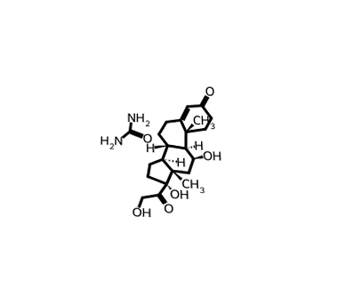 C[C@]12CCC(=O)C=C1CC[C@@H]1[C@@H]2[C@@H](O)C[C@@]2(C)[C@H]1CC[C@]2(O)C(=O)CO.NC(N)=O